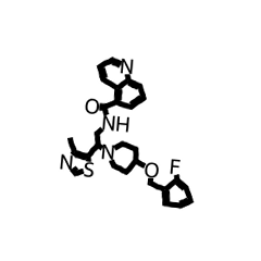 Cc1ncsc1C(CNC(=O)c1cccc2ncccc12)N1CCC(OCc2ccccc2F)CC1